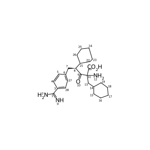 N=C(N)c1ccc(C[C@H](C(=O)C(N)(CC2CCCCC2)C(=O)O)C2CCCCC2)cc1